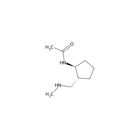 CNC[C@H]1CCC[C@@H]1NC(C)=O